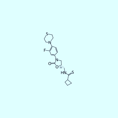 O=C1O[C@@H](CNC(=S)C2CCC2)CN1c1ccc(N2CCSCC2)c(F)c1